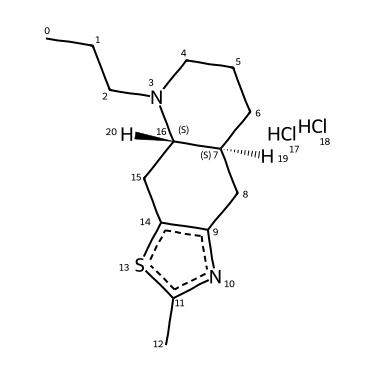 CCCN1CCC[C@H]2Cc3nc(C)sc3C[C@@H]21.Cl.Cl